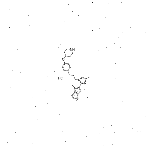 Cc1cn(CCCc2ccc(OC3CCNCC3)cc2)c(-c2cc3sccc3n2C)n1.Cl